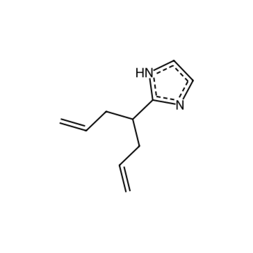 C=CCC(CC=C)c1ncc[nH]1